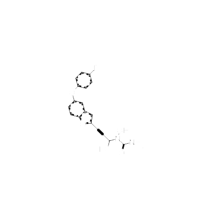 CC(C#Cc1cc2cc(Oc3ccc(F)cc3)ccc2o1)N(O)C(N)=O